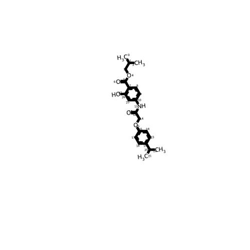 CC(C)COC(=O)c1ccc(NC(=O)COc2ccc(C(C)C)cc2)cc1O